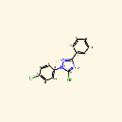 Clc1ccc(-n2nc(-c3ccccc3)nc2Br)cc1